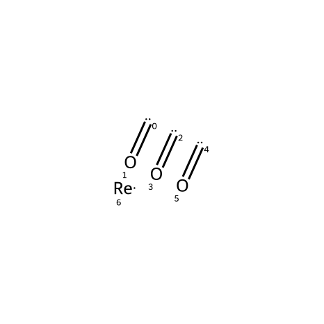 [C]=O.[C]=O.[C]=O.[Re]